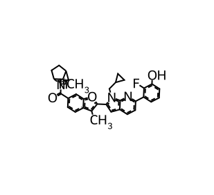 Cc1c(-c2cc3ccc(-c4cccc(O)c4F)nc3n2CC2CC2)oc2cc(C(=O)N3CC4CCC3[C@@H]4C)ccc12